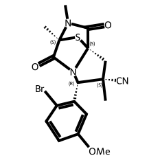 COc1ccc(Br)c([C@@H]2N3C(=O)[C@]4(C)S[C@@]3(C[C@]2(C)C#N)C(=O)N4C)c1